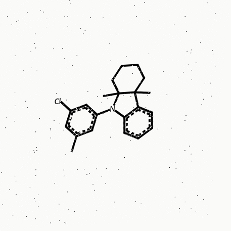 Cc1cc(Cl)cc(N2c3ccccc3C3(C)CCCCC23C)c1